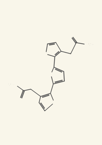 COC(=O)Cc1ccsc1-c1ccc(-c2sccc2CC(=O)OC)s1